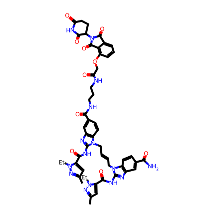 CCn1nc(C)cc1C(=O)Nc1nc2cc(C(N)=O)ccc2n1C/C=C/Cn1c(NC(=O)c2cc(C)nn2CC)nc2cc(C(=O)NCCCNC(=O)COc3cccc4c3C(=O)N(C3CCC(=O)NC3=O)C4=O)ccc21